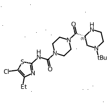 CCc1nc(NC(=O)N2CCN(C(=O)[C@H]3CN(C(C)(C)C)CCN3)CC2)sc1Cl